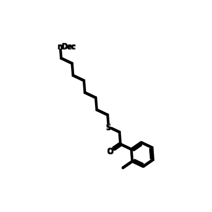 CCCCCCCCCCCCCCCCCCSCC(=O)c1ccccc1C